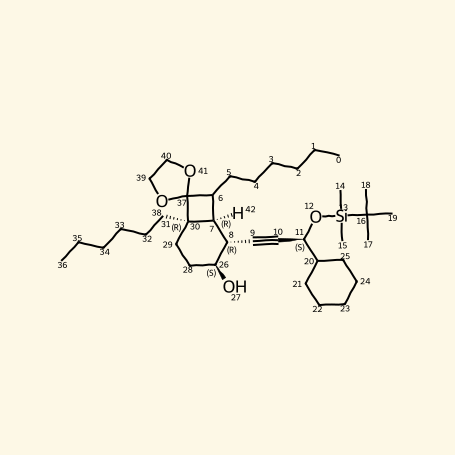 CCCCCCC1[C@H]2[C@H](C#C[C@@H](O[Si](C)(C)C(C)(C)C)C3CCCCC3)[C@@H](O)CC[C@@]2(CCCCCC)C12OCCO2